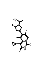 Cc1c(N2CC(F)C(C(C)N)C2)c(F)cn2c(=O)[nH]c(=O)c(C3CC3)c12